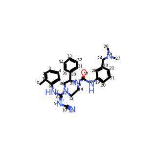 Cc1ccccc1N/C(=N/C#N)N1CCN(C(=O)Nc2cccc(CN(C)C)c2)C(c2ccccc2)C1